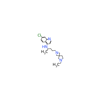 CCN1CCC2(C1)CN(CCCC(C)Nc1ccnc3cc(Cl)ccc13)C2